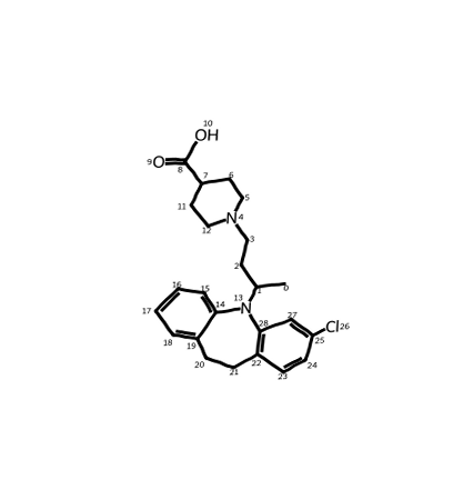 CC(CCN1CCC(C(=O)O)CC1)N1c2ccccc2CCc2ccc(Cl)cc21